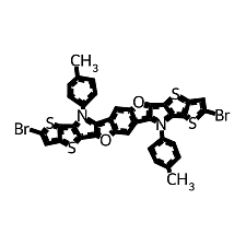 Cc1ccc(-n2c3c4cc5oc6c7sc8cc(Br)sc8c7n(-c7ccc(C)cc7)c6c5cc4oc3c3sc4cc(Br)sc4c32)cc1